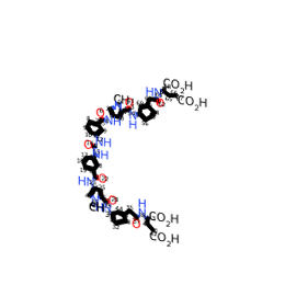 Cn1cc(NC(=O)c2cccc(NC(=O)Nc3cccc(C(=O)Nc4cc(C(=O)Nc5cccc(CC(=O)NC(CCC(=O)O)C(=O)O)c5)n(C)c4)c3)c2)cc1C(=O)Nc1cccc(CC(=O)NC(CCC(=O)O)C(=O)O)c1